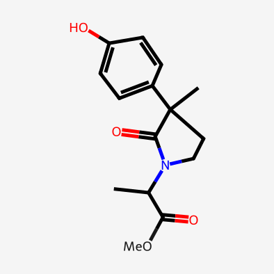 COC(=O)C(C)N1CCC(C)(c2ccc(O)cc2)C1=O